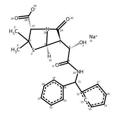 CC1(C)S[C@@H]2[C@H]([C@H](O)C(=O)NC(c3ccccc3)c3ccccc3)C(=O)N2[C@H]1C(=O)[O-].[Na+]